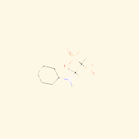 CCN(C1CCCCC1)C(CC)(CC)C(CC)(P(=O)(O)O)P(=O)(O)O